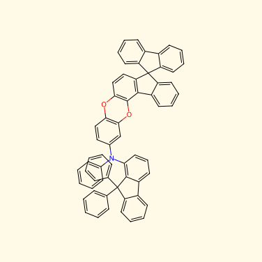 c1ccc(N(c2ccc3c(c2)Oc2c(ccc4c2-c2ccccc2C42c4ccccc4-c4ccccc42)O3)c2cccc3c2C(c2ccccc2)(c2ccccc2)c2ccccc2-3)cc1